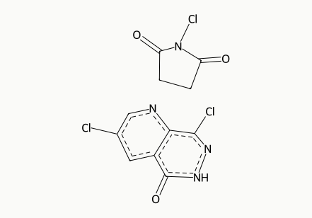 O=C1CCC(=O)N1Cl.O=c1[nH]nc(Cl)c2ncc(Cl)cc12